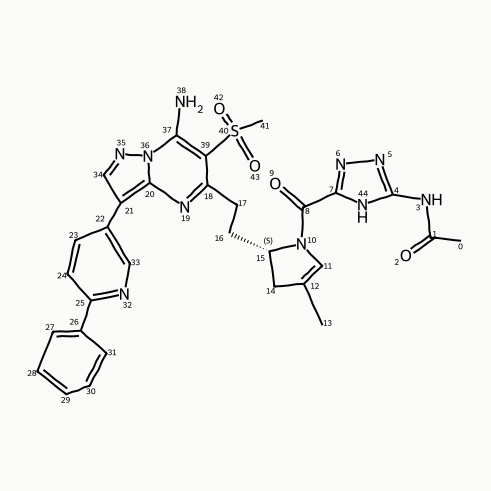 CC(=O)Nc1nnc(C(=O)N2C=C(C)C[C@@H]2CCc2nc3c(-c4ccc(-c5ccccc5)nc4)cnn3c(N)c2S(C)(=O)=O)[nH]1